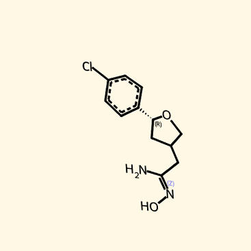 N/C(CC1CO[C@@H](c2ccc(Cl)cc2)C1)=N\O